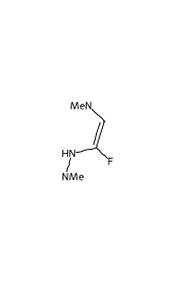 CN/C=C(/F)NNC